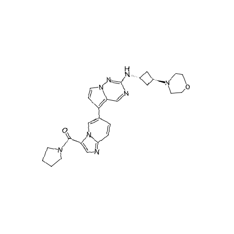 O=C(c1cnc2ccc(-c3ccn4nc(N[C@H]5C[C@H](N6CCOCC6)C5)ncc34)cn12)N1CCCC1